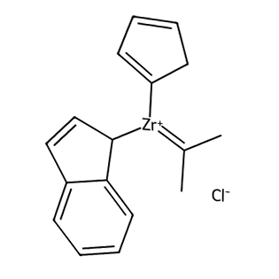 C[C](C)=[Zr+]([C]1=CC=CC1)[CH]1C=Cc2ccccc21.[Cl-]